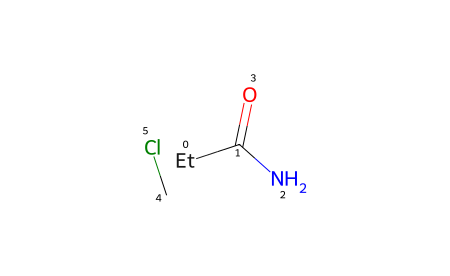 CCC(N)=O.CCl